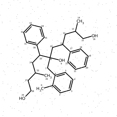 Cc1ccccc1CC(O)(CC(CC(C)CO)c1ccccc1)C(CC(C)CCO)c1ccccc1